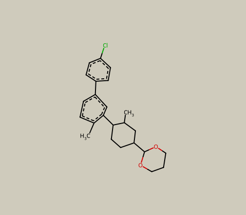 Cc1ccc(-c2ccc(Cl)cc2)cc1C1CCC(C2OCCCO2)CC1C